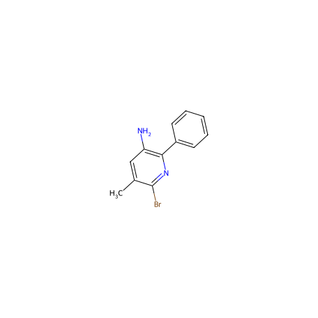 Cc1cc(N)c(-c2ccccc2)nc1Br